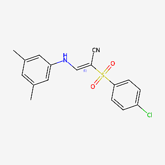 Cc1cc(C)cc(N/C=C(\C#N)S(=O)(=O)c2ccc(Cl)cc2)c1